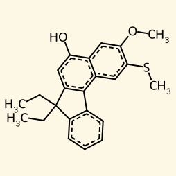 CCC1(CC)c2ccccc2-c2c1cc(O)c1cc(OC)c(SC)cc21